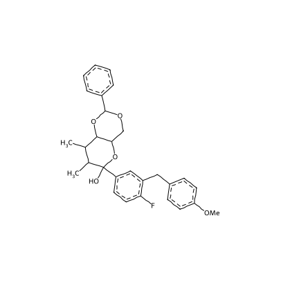 COc1ccc(Cc2cc(C3(O)OC4COC(c5ccccc5)OC4C(C)C3C)ccc2F)cc1